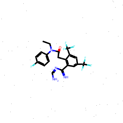 CCN(C(=O)Cc1c(C(=N)/N=C\N)cc(C(F)(F)F)cc1C(F)(F)F)c1ccc(F)cc1